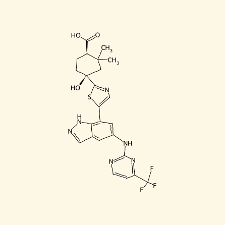 CC1(C)C[C@](O)(c2ncc(-c3cc(Nc4nccc(C(F)(F)F)n4)cc4cn[nH]c34)s2)CC[C@H]1C(=O)O